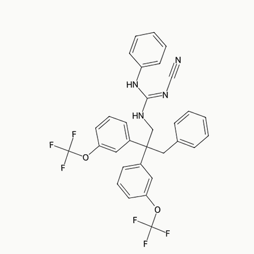 N#CN=C(NCC(Cc1ccccc1)(c1cccc(OC(F)(F)F)c1)c1cccc(OC(F)(F)F)c1)Nc1ccccc1